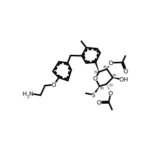 CS[C@H]1O[C@@H](c2ccc(C)c(Cc3ccc(OCCN)cc3)c2)[C@H](OC(C)=O)[C@@H](O)[C@@H]1OC(C)=O